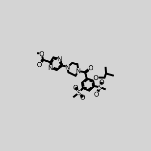 COC(=O)c1cnc(N2CCN(C(=O)c3cc(S(C)(=O)=O)cc(S(C)(=O)=O)c3OCC(C)C)CC2)cn1